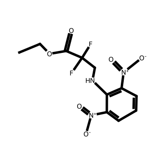 CCOC(=O)C(F)(F)CNc1c([N+](=O)[O-])cccc1[N+](=O)[O-]